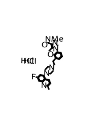 CNC(=O)c1ncn2c1COc1c(CCN3CCN(c4cc(F)cc5nc(C)ccc45)CC3)cccc1-2.Cl.Cl